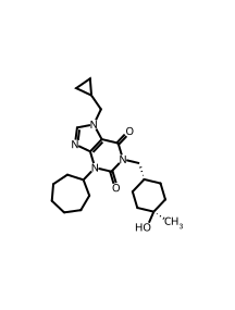 C[C@]1(O)CC[C@H](Cn2c(=O)c3c(ncn3CC3CC3)n(C3CCCCCC3)c2=O)CC1